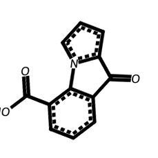 O=C(O)c1cccc2c1-n1cccc1C2=O